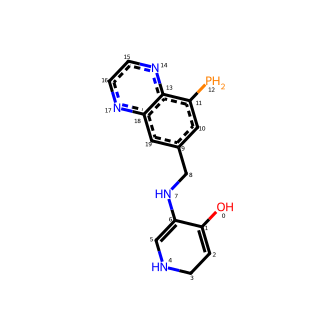 OC1=CCNC=C1NCc1cc(P)c2nccnc2c1